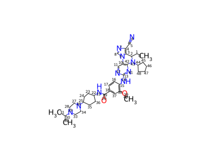 CCC1c2c(C#N)ncn2-c2cnc(Nc3ccc(C(=O)NC4CCC(N5CCN(C(C)C)CC5)CC4)cc3OC)nc2N1C1CCCC1